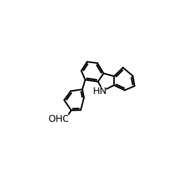 O=Cc1ccc(-c2cccc3c2[nH]c2ccccc23)cc1